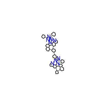 c1ccc(-c2nc(-c3ccccc3)nc(-n3c4ccc5cccc6c5c4c4c(cc5cccnc5c43)-c3ccc(-c4ccc5nc(-n7c8ccc9cccc%10c9c8c8c(cc9cccnc9c87)-c7ccccc7-%10)c(-c7ccccc7)nc5c4)cc3-6)n2)cc1